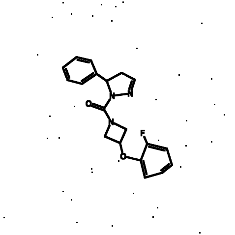 O=C(N1CC(Oc2ccccc2F)C1)N1N=CCC1c1ccccc1